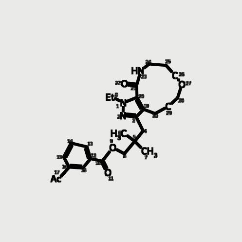 CCn1nc(CC(C)(C)COC(=O)c2cccc(C(C)=O)c2)c2c1C(=O)NCCCOCCC2